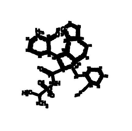 CC(C)S(=O)(=O)NC(=O)c1c(-c2ccc[nH]c2=O)c2c3occc3ccc2n1Cc1ccccc1F